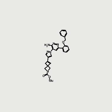 CC(C)(C)OC(=O)N1CC2(C=C(c3cnn(-c4cc(-c5ccccc5OCc5ccccc5)nnc4N)c3)C2)C1